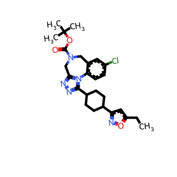 CCc1cc(C2CCC(c3nnc4n3-c3ccc(Cl)cc3CN(C(=O)OC(C)(C)C)C4)CC2)no1